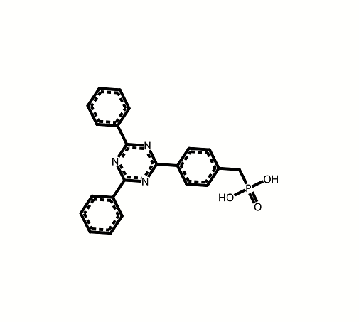 O=P(O)(O)Cc1ccc(-c2nc(-c3ccccc3)nc(-c3ccccc3)n2)cc1